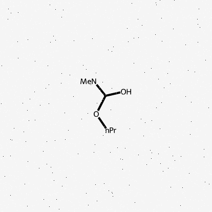 CCCOC(O)NC